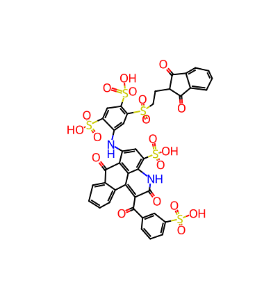 O=C(c1cccc(S(=O)(=O)O)c1)c1c2c3c(c(Nc4cc(S(=O)(=O)CCC5C(=O)c6ccccc6C5=O)c(S(=O)(=O)O)cc4S(=O)(=O)O)cc(S(=O)(=O)O)c3[nH]c1=O)C(=O)c1ccccc1-2